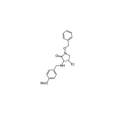 CCC1CN(OCc2ccccc2)C(=O)C1NCc1ccc(OC)cc1